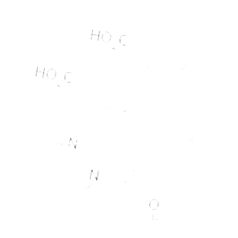 O=C(O)c1cccc2c1C(C(=O)O)N=NC2=O